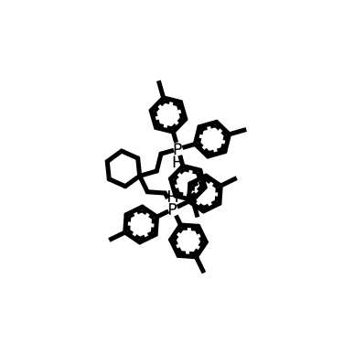 Cc1ccc([PH](CCC2(CC[PH](c3ccc(C)cc3)(c3ccc(C)cc3)c3ccc(C)cc3)CCCCC2)(c2ccc(C)cc2)c2ccc(C)cc2)cc1